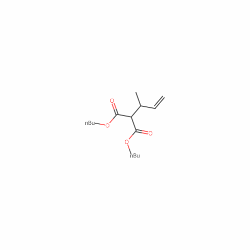 C=CC(C)C(C(=O)OCCCC)C(=O)OCCCC